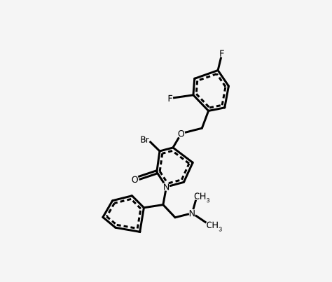 CN(C)CC(c1ccccc1)n1ccc(OCc2ccc(F)cc2F)c(Br)c1=O